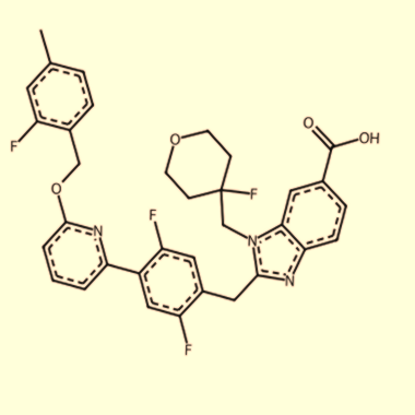 Cc1ccc(COc2cccc(-c3cc(F)c(Cc4nc5ccc(C(=O)O)cc5n4CC4(F)CCOCC4)cc3F)n2)c(F)c1